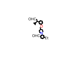 CCc1ccc(C=O)c(N2CCC(COc3cccc(C(CC=O)C4CC4)c3)CC2)c1